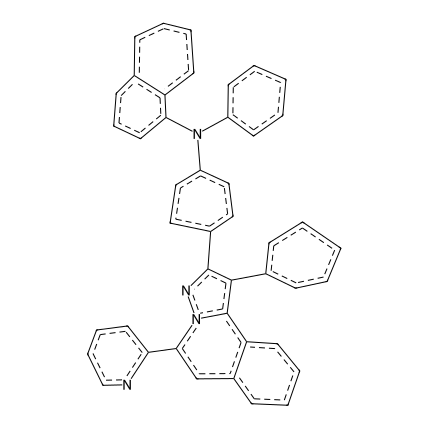 c1ccc(-c2c(-c3ccc(N(c4ccccc4)c4cccc5ccccc45)cc3)nn3c(-c4ccccn4)cc4ccccc4c23)cc1